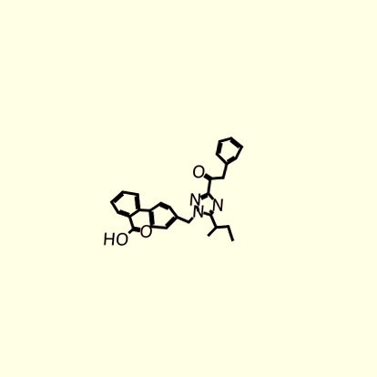 CCC(C)c1nc(C(=O)Cc2ccccc2)nn1Cc1ccc(-c2ccccc2C(=O)O)cc1